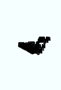 C=CC(=O)O.C=CC(=O)O.C=CC(=O)O.C=CC(=O)O.C=CC(=O)O.C=CC(=O)O.C=CC(=O)O.C=CC(=O)O.C=CC(=O)O.C=CC(=O)O.C=CC(=O)O.C=CC(=O)O.C=CC(=O)O.C=CC(=O)O.C=CC(=O)O.CCOC(N)=O